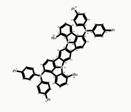 CC(C)c1ccc(N(c2ccc(C(C)C)cc2)c2ccc3c4cc5c(cc4n4c6c(C(C)(C)C)cccc6c2c34)c2ccc(N(c3ccc(C(C)C)cc3)c3ccc(C(C)C)cc3)c3c4cccc(C(C)(C)C)c4n5c23)cc1